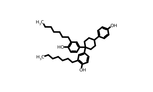 CCCCCCCc1cc(C2(c3ccc(O)c(CCCCCCC)c3)CCC(c3ccc(O)cc3)CC2)ccc1O